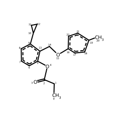 CCC(=O)Oc1cccc(C2CC2)c1COc1ccc(C)cc1